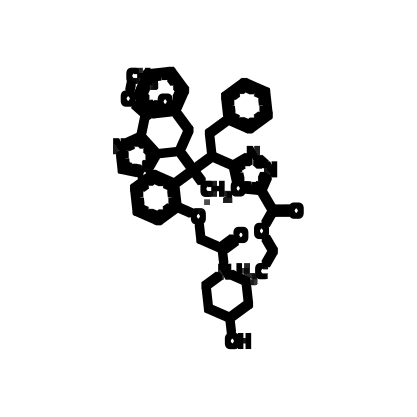 [CH2]C(c1ccccc1OCC(=O)N1CCC(O)CC1)(C(Cc1ccccc1)c1nnc(C(=O)OCC)o1)C(Cc1ccccc1)c1ocnc1C(=O)OC